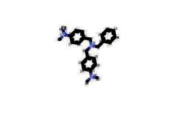 CCN(C)c1ccc(CN(Cc2ccccc2)Cc2ccc(N(C)C)cc2)cc1